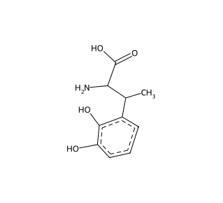 CC(c1cccc(O)c1O)C(N)C(=O)O